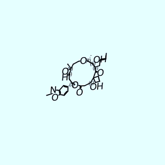 CC=CC[C@H]1C(=O)C2(CCC2)[C@@H](O)CC(=O)O[C@H](c2ccc3oc(C)nc3c2)C[C@@H]2O[C@]2(C)CCO[C@H](C)[C@H]1O